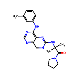 Cc1cccc(Nc2ncnc3cnc(NC(C)(C)C(=O)N4CCCC4)nc23)c1